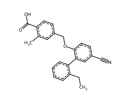 CCc1ccccc1-c1cc(C#N)ccc1OCc1ccc(C(=O)O)c(C)c1